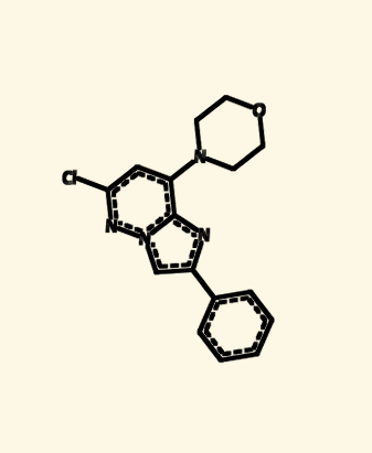 Clc1cc(N2CCOCC2)c2nc(-c3ccccc3)cn2n1